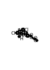 COc1cc(C(=O)OCCC(=O)OC(C)(C)C)ccc1NC(=O)[C@@H]1N[C@@H](CC(C)(C)C)[C@](C#N)(c2ccc(Cl)cc2F)[C@H]1c1cccc(Cl)c1F